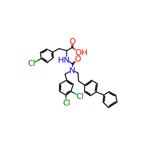 O=C(O)C(Cc1ccc(Cl)cc1)NC(=O)N(CCc1ccc(-c2ccccc2)cc1)Cc1ccc(Cl)c(Cl)c1